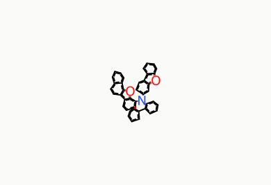 c1ccc(-c2ccccc2N(c2ccc3c(c2)oc2ccccc23)c2cccc3c2oc2c4ccccc4ccc32)cc1